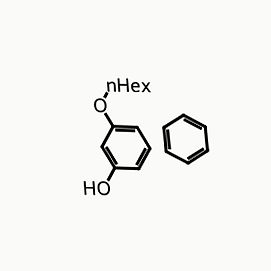 CCCCCCOc1cccc(O)c1.c1ccccc1